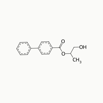 CC(CO)OC(=O)c1ccc(-c2ccccc2)cc1